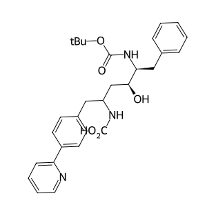 CC(C)(C)OC(=O)N[C@@H](Cc1ccccc1)[C@@H](O)CC(Cc1ccc(-c2ccccn2)cc1)NC(=O)O